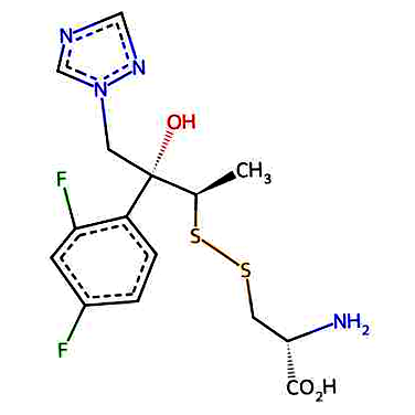 C[C@@H](SSC[C@H](N)C(=O)O)[C@](O)(Cn1cncn1)c1ccc(F)cc1F